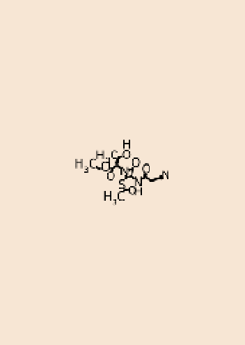 CCOC(=O)C(=C(C)O)N1C(=O)C(NC(=O)CC#N)C1SC(C)=O